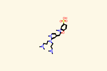 CN(C)CCCN(CCCN(C)C)C1=C/C(=C/c2oc3ccc(S(=O)(=O)O)cc3[n+]2C)C=CN1C